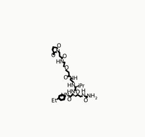 CCc1ccc(NC(=O)[C@H](CCCNC(N)=O)NC(=O)[C@@H](NCCNC(=O)CCOCCNC(=O)CCN2C(=O)C=CC2=O)C(C)C)cc1